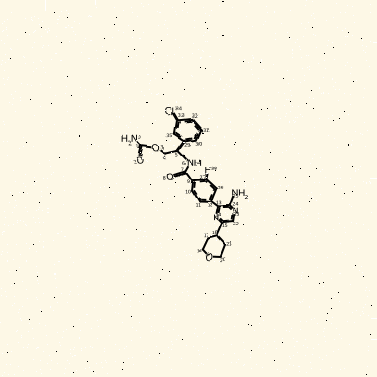 NC(=O)OCC(NC(=O)c1ccc(-c2nc(C3CCOCC3)cnc2N)cc1F)c1cccc(Cl)c1